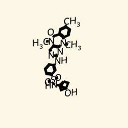 Cc1ccc2c(c1)C(=O)N(C)c1cnc(Nc3cccc(S(=O)(=O)NC4CC5(O)CC4C5)c3)nc1N2C